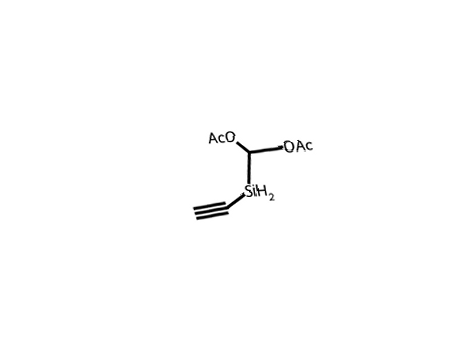 C#C[SiH2]C(OC(C)=O)OC(C)=O